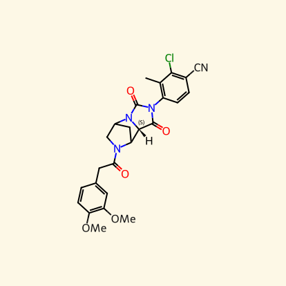 COc1ccc(CC(=O)N2CC3CC2[C@H]2C(=O)N(c4ccc(C#N)c(Cl)c4C)C(=O)N32)cc1OC